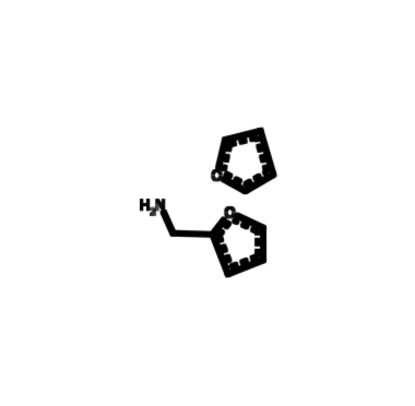 NCc1ccco1.c1ccoc1